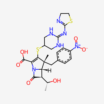 C[C@@H](O)[C@H]1C(=O)N2C(C(=O)O)=C(SC3CNC(=NC4=NCCS4)NC3)[C@](C)(Cc3ccc([N+](=O)[O-])cc3)[C@H]12